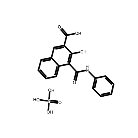 O=C(O)c1cc2ccccc2c(C(=O)Nc2ccccc2)c1O.O=P(O)(O)O